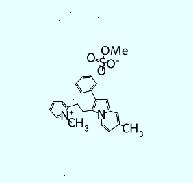 COS(=O)(=O)[O-].Cc1ccn2c(CCc3cccc[n+]3C)c(-c3ccccc3)cc2c1